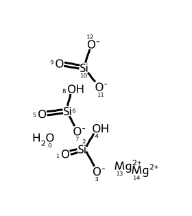 O.O=[Si]([O-])O.O=[Si]([O-])O.O=[Si]([O-])[O-].[Mg+2].[Mg+2]